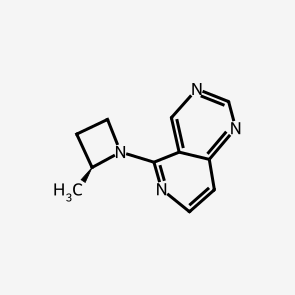 C[C@H]1CCN1c1nccc2ncncc12